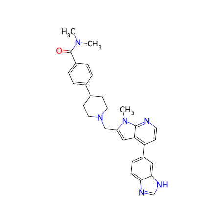 CN(C)C(=O)c1ccc(C2CCN(Cc3cc4c(-c5ccc6nc[nH]c6c5)ccnc4n3C)CC2)cc1